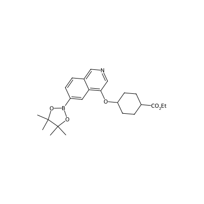 CCOC(=O)C1CCC(Oc2cncc3ccc(B4OC(C)(C)C(C)(C)O4)cc23)CC1